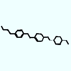 CCCCc1ccc(CCC2=CCC(CC[C@H]3CC[C@H](CC)CC3)CC2)cc1